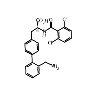 NCc1ccccc1-c1ccc(C[C@H](NC(=O)c2c(Cl)cccc2Cl)C(=O)O)cc1